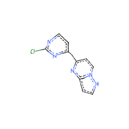 Clc1nccc(-c2ccn3nccc3n2)n1